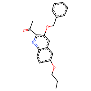 CCCOc1ccc2nc(C(C)=O)c(OCc3ccccc3)cc2c1